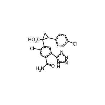 NC(=O)c1cc(Cl)c(C2(C(=O)O)CC2c2ccc(Cl)cc2)cc1-c1nnn[nH]1